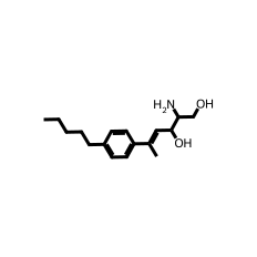 CCCCCc1ccc(C(C)=CC(O)C(N)CO)cc1